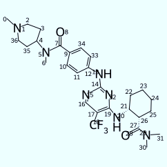 CN1CCC(N(C)C(=O)c2ccc(Nc3ncc(C(F)(F)F)c(N[C@@H]4CCCC[C@@H]4C(=O)N(C)C)n3)cc2)CC1